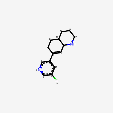 Clc1cncc(C2=CC3NCCCC3CC2)c1